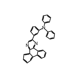 c1ccc(N(c2ccccc2)c2cccc(-c3cnc4c5ccccc5c5ccccc5c4n3)c2)cc1